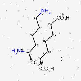 NCCCC[C@H](N)C(=O)O.O=C(O)CCCCCC(=O)O